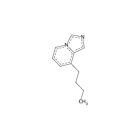 CCCCc1cccn2cncc12